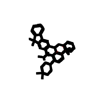 CC(C)N(c1cc(-c2ccccc2)ccc1C1CCC(C)(C)CC1)c1cc2c(cc1C1CCC(C)(C)CC1)-c1ccccc1C2(C)C